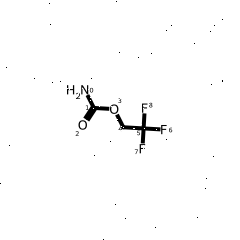 NC(=O)OCC(F)(F)F